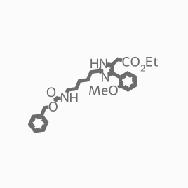 CCOC(=O)Cc1[nH]c(CCCCCNC(=O)OCc2ccccc2)nc1-c1ccccc1OC